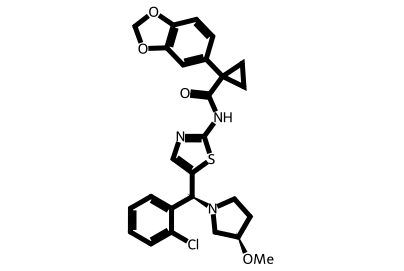 CO[C@@H]1CCN([C@H](c2cnc(NC(=O)C3(c4ccc5c(c4)OCO5)CC3)s2)c2ccccc2Cl)C1